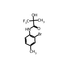 Cc1ccc(NC(=O)C(C)(O)C(F)(F)F)c(Br)c1